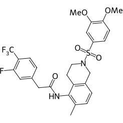 COc1ccc(S(=O)(=O)N2CCc3c(ccc(C)c3NC(=O)Cc3ccc(C(F)(F)F)c(F)c3)C2)cc1OC